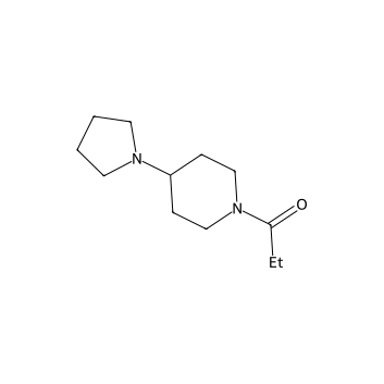 CCC(=O)N1CCC(N2CCCC2)CC1